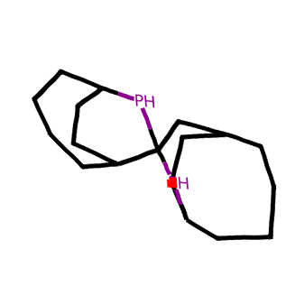 C1CCC2CCC(C1)CC1(P2)PC2CCCCC1CC2